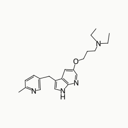 CCN(CC)CCCOc1cnc2[nH]cc(Cc3ccc(C)nc3)c2c1